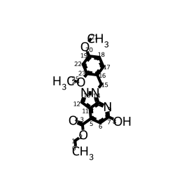 CCOC(=O)c1cc(O)nc2c1cnn2Cc1ccc(OC)cc1OC